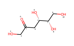 O=C(CO)C[C@H](O)[C@@H](O)CO